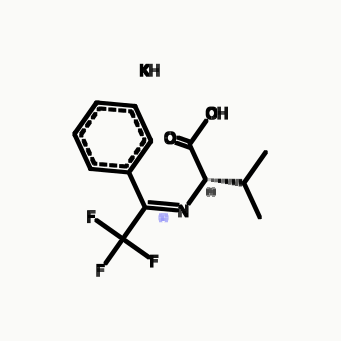 CC(C)[C@H](/N=C(\c1ccccc1)C(F)(F)F)C(=O)O.[KH]